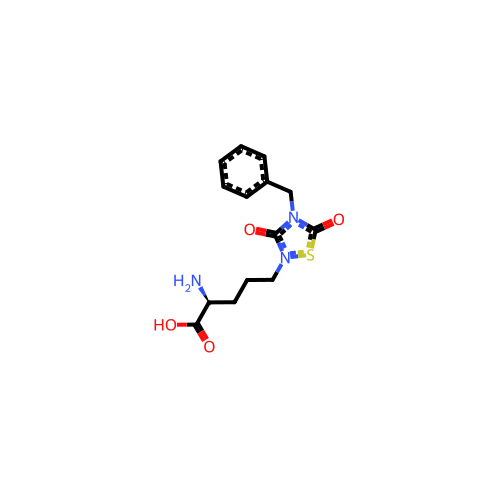 N[C@@H](CCCn1sc(=O)n(Cc2ccccc2)c1=O)C(=O)O